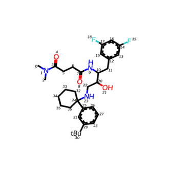 CN(C)C(=O)CCC(=O)NC(Cc1cc(F)cc(F)c1)C(O)CNC1(c2cccc(C(C)(C)C)c2)CCCCC1